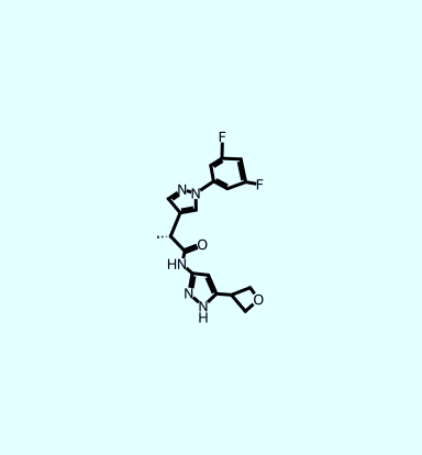 C[C@@H](C(=O)Nc1cc(C2COC2)[nH]n1)c1cnn(-c2cc(F)cc(F)c2)c1